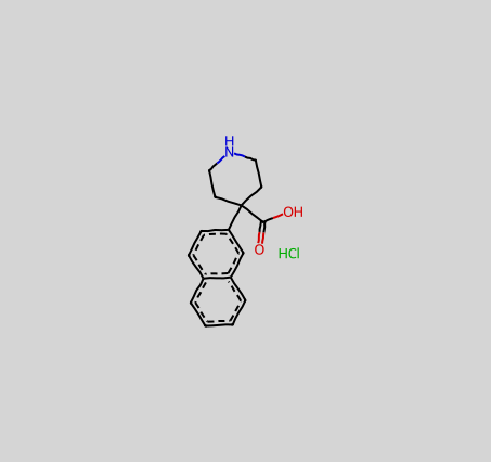 Cl.O=C(O)C1(c2ccc3ccccc3c2)CCNCC1